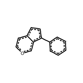 [c]1cccc(-c2ccc3ccocc2-3)c1